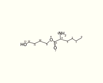 CCCCC(N)C(=O)OCCCCO